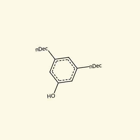 CCCCCCCCCCc1cc(O)cc(CCCCCCCCCC)c1